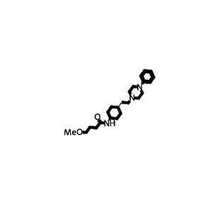 COCCCC(=O)N[C@H]1CC[C@H](CCN2CCN(c3ccccc3)CC2)CC1